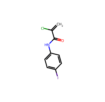 C=C(Cl)C(=O)Nc1ccc(I)cc1